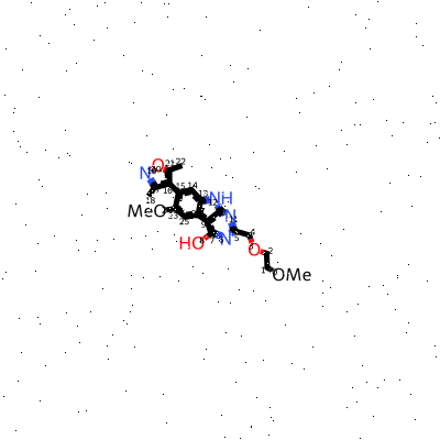 COCCOCc1nc(O)c2c(n1)[nH]c1cc(-c3c(C)noc3C)c(OC)cc12